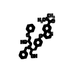 CN(C)C(=O)c1ccc2c(Oc3ccc(C[C@@H](CO)N(Cc4ccccc4)C[C@H](O)COc4ccccc4)cc3)ccnc2c1